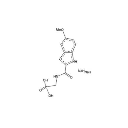 COc1ccc2[nH]c(C(=O)NCP(=O)(O)O)cc2c1.[NaH].[NaH]